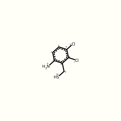 Nc1ccc(Cl)c(Cl)c1CS